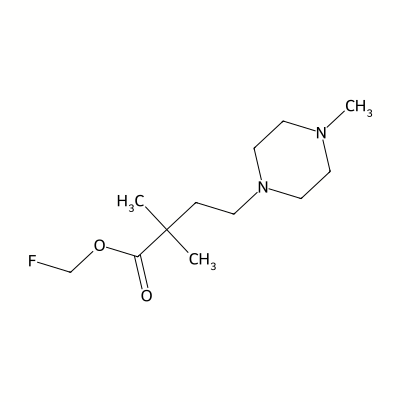 CN1CCN(CCC(C)(C)C(=O)OCF)CC1